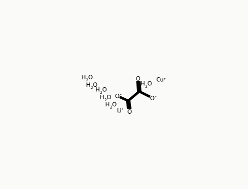 O.O.O.O.O.O.O=C([O-])C(=O)[O-].[Cu+].[Li+]